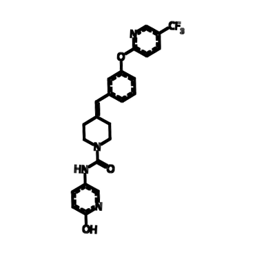 O=C(Nc1ccc(O)nc1)N1CCC(=Cc2cccc(Oc3ccc(C(F)(F)F)cn3)c2)CC1